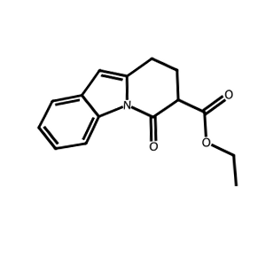 CCOC(=O)C1CCc2cc3ccccc3n2C1=O